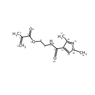 C=C(C)C(=O)OCCNC(=O)c1cn(C)nc1C